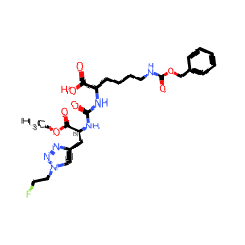 COC(=O)[C@H](Cc1cn(CCF)nn1)NC(=O)NC(CCCCNC(=O)OCc1ccccc1)C(=O)O